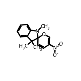 CN1c2ccccc2C(C)(C)C12C=CC([N+](=O)[O-])=CO2